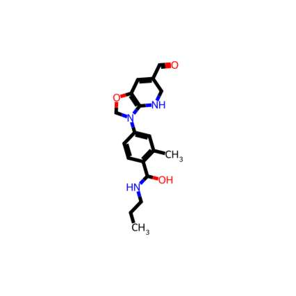 CCCNC(O)c1ccc(N2COC3=C2NCC(C=O)=C3)cc1C